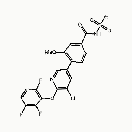 CCS(=O)(=O)NC(=O)c1ccc(-c2cnc(Oc3c(F)ccc(F)c3F)c(Cl)c2)c(OC)c1